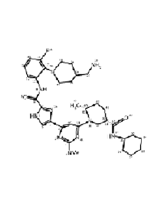 CNc1nc(-c2c[nH]c(C(=O)Nc3cccc(F)c3N3CCC(CN)CC3)n2)cc(N2C[C@@H](C(=O)NC3CCCCC3)CC[C@H]2C)n1